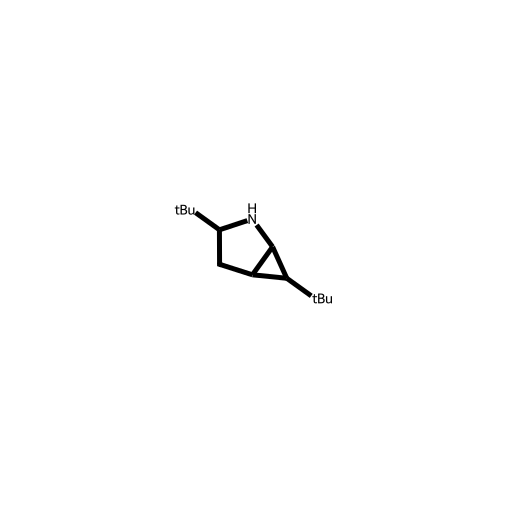 CC(C)(C)C1CC2C(N1)C2C(C)(C)C